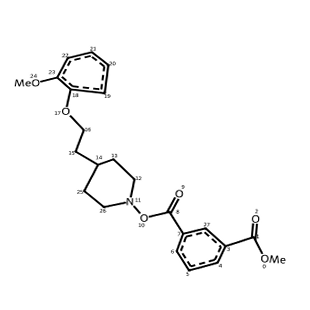 COC(=O)c1cccc(C(=O)ON2CCC(CCOc3ccccc3OC)CC2)c1